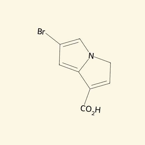 O=C(O)C1=CCn2cc(Br)cc21